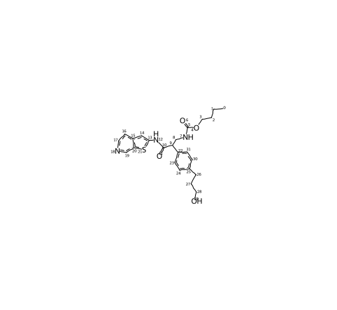 CCCCOC(=O)NCC(C(=O)Nc1cc2ccncc2s1)c1ccc(CCCO)cc1